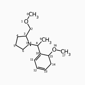 COCC1CCCN1C(C)C1=CC=CCC1OC